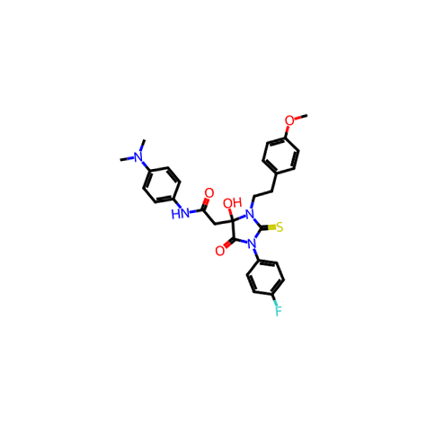 COc1ccc(CCN2C(=S)N(c3ccc(F)cc3)C(=O)C2(O)CC(=O)Nc2ccc(N(C)C)cc2)cc1